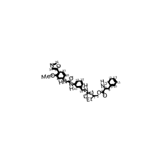 CC[C@H](COC(=O)[C@H](N)Cc1ccccc1)OC(=O)NCc1cccc(NC(=O)Nc2ccc(-c3cnco3)c(OC)c2)c1